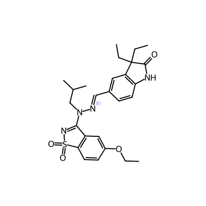 CCOc1ccc2c(c1)C(N(CC(C)C)/N=C/c1ccc3c(c1)C(CC)(CC)C(=O)N3)=NS2(=O)=O